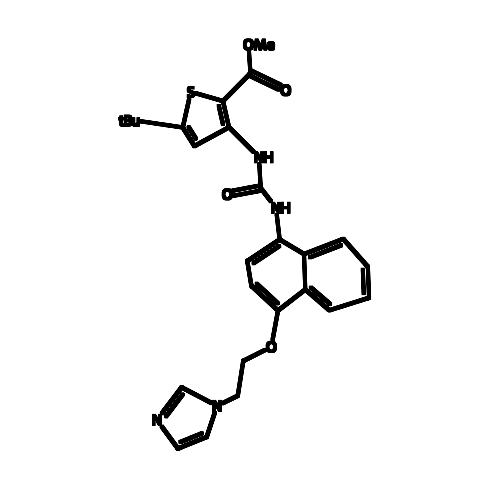 COC(=O)c1sc(C(C)(C)C)cc1NC(=O)Nc1ccc(OCCn2ccnc2)c2ccccc12